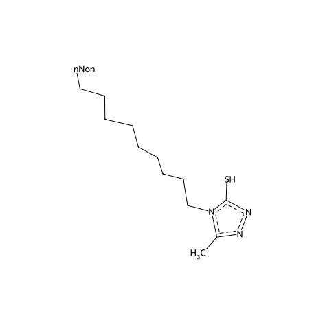 CCCCCCCCCCCCCCCCCCn1c(C)nnc1S